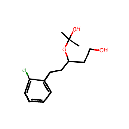 CC(C)(O)OC(CCO)CCc1ccccc1Cl